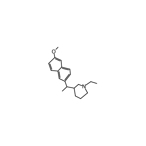 CCN1CCCC(C(C)c2ccc3cc(OC)ccc3c2)C1